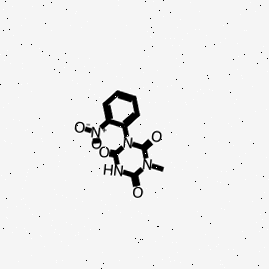 Cn1c(=O)[nH]c(=O)n(-c2ccccc2[N+](=O)[O-])c1=O